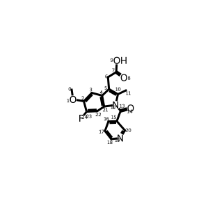 COc1cc2c(CC(=O)O)c(C)n(C(=O)c3cccnc3)c2cc1F